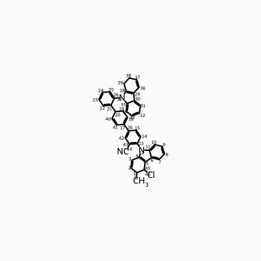 CC1C=Cc2c(c3ccccc3n2-c2ccc(C3=CCC(c4ccccc4-n4c5c(c6ccccc64)C=CCC5)C=C3)cc2C#N)C1Cl